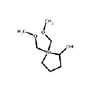 COC[N+]1(COC)CCCC1O